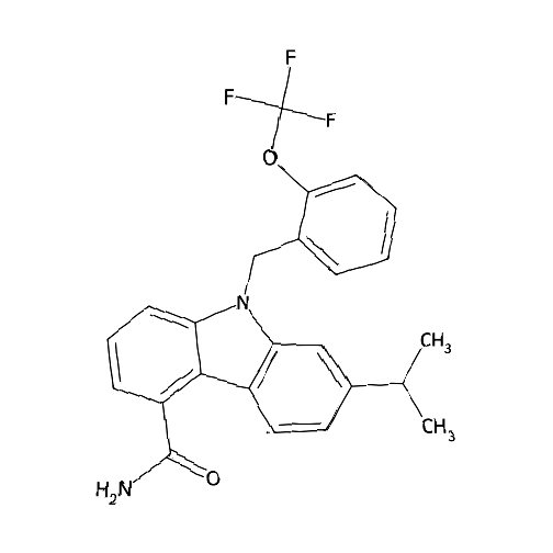 CC(C)c1c[c]c2c3c(C(N)=O)cccc3n(Cc3ccccc3OC(F)(F)F)c2c1